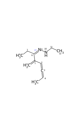 C=C(C=C=CC)/C(CC)=N\NCC